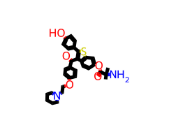 CC(C)(N)C(=O)Oc1ccc2c(C(=O)c3ccc(OCCN4CCCCC4)cc3)c(-c3ccc(O)cc3)sc2c1